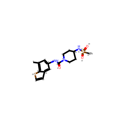 Cc1cc(NC(=O)N2CCC(NS(=O)(=O)C(C)C)CC2)cc2ccsc12